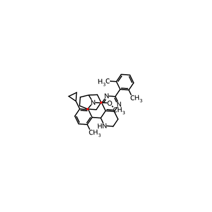 COC1CC2CCC(C1)N2c1nc(-c2c(C)cccc2C)nc2c1C(c1cc(C3CC3)ccc1C)NCC2